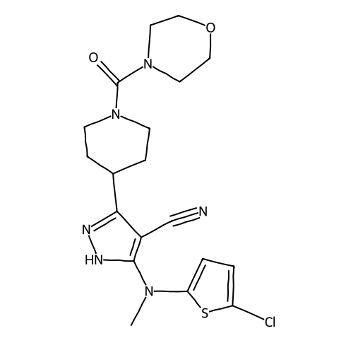 CN(c1ccc(Cl)s1)c1[nH]nc(C2CCN(C(=O)N3CCOCC3)CC2)c1C#N